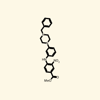 COC(=O)c1ccc(Nc2cccc(N3CCN(Cc4ccccc4)CC3)c2)c([N+](=O)[O-])c1